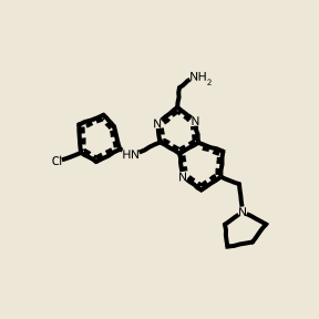 NCc1nc(Nc2cccc(Cl)c2)c2ncc(CN3CCCC3)cc2n1